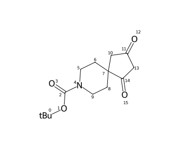 CC(C)(C)OC(=O)N1CCC2(CC1)CC(=O)CC2=O